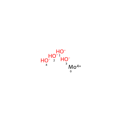 [Mo+4].[OH-].[OH-].[OH-].[OH-]